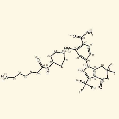 CC1(C)CC(=O)c2c(C(F)(F)F)nn(-c3ccc(C(N)=O)c(N[C@H]4CC[C@H](NC(=O)CCCCCN)CC4)c3)c2C1